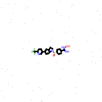 N=C(NO)c1ccc([S+]([O-])N2CCc3cc(-c4ccc(C(F)(F)F)nc4)ccc32)cc1